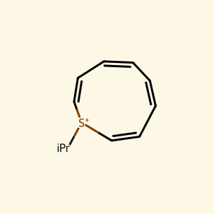 CC(C)[s+]1cccccccc1